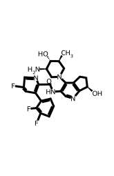 C[C@H]1CN(c2c(NC(=O)c3ncc(F)cc3-c3cccc(F)c3F)cnc3c2CC[C@H]3O)C[C@@H](N)[C@@H]1O